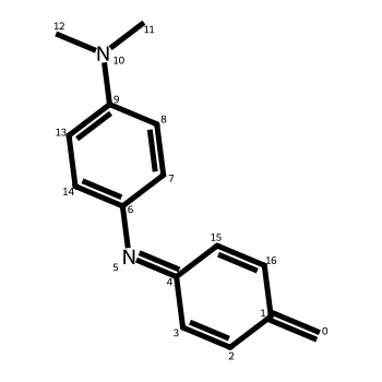 C=C1C=CC(=Nc2ccc(N(C)C)cc2)C=C1